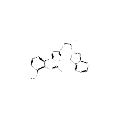 COc1cccc2c1nc(N)n1nc(C[C@@H](C)N3Cc4cccnc4C3)nc21